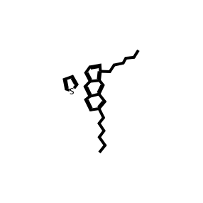 CCCCCCc1ccc2cc3cccc(CCCCCC)c3cc2c1.c1ccsc1